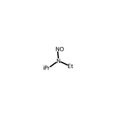 CCN(N=O)C(C)C